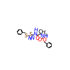 CC(NC(=O)OCc1ccccc1)C(=O)Nc1nnc(SCc2ccccc2)s1